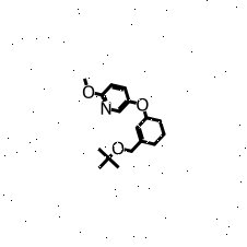 COc1ccc(OC2C=C(COC(C)(C)C)CCC2)cn1